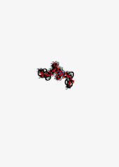 C=C(COC(=O)c1ccc(/C(=C/c2ccc(N(c3ccccc3)c3ccc(C(=O)OCC(=C)C(=O)OCC)cc3)cc2)c2ccccc2)cc1)C(=O)OCC